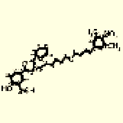 Cc1cc(C=CCCOCCCCCCN(CC(=O)c2ccc(O)c(CO)c2)Cc2ccccc2)cc(C)c1[N+](=O)[O-]